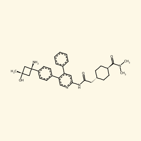 CN(C)C(=O)[C@H]1CC[C@H](CC(=O)Nc2cc(-c3ccccc3)c(-c3ccc([C@]4(N)C[C@](C)(O)C4)cc3)cn2)CC1